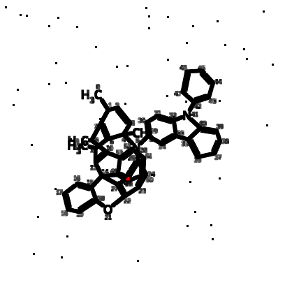 CC1C=CC2(C)C3=C1C(C)C1=C(C3C)C3(c4ccccc4Oc4ccc(cc43)N2c2ccc3c(c2)c2ccccc2n3-c2ccccc2)c2ccccc21